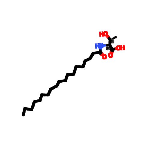 CCCCCCCCCCCCCCCCCCC(=O)N[C@H](C(=O)O)[C@@H](C)O